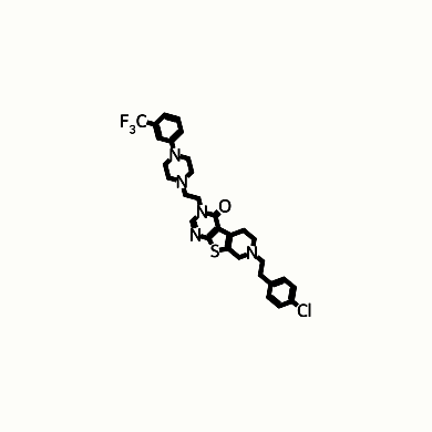 O=c1c2c3c(sc2ncn1CCN1CCN(c2cccc(C(F)(F)F)c2)CC1)CN(CCc1ccc(Cl)cc1)CC3